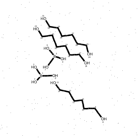 OB(O)O.OB(O)O.OCCCCCCO.OCCCCCCO.OCCCCCCO